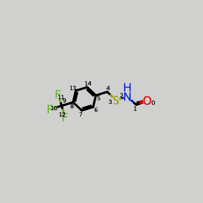 O=CNSCc1ccc(C(F)(F)F)cc1